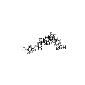 O=C(O)c1cccc(C[C@H]2[C@@H](c3nc(C(=O)NCCCCc4ccc(Cl)cc4)co3)[C@@H]3CC[C@H]2O3)c1